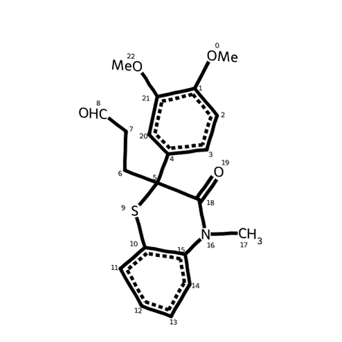 COc1ccc(C2(CCC=O)Sc3ccccc3N(C)C2=O)cc1OC